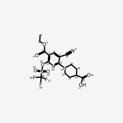 CCOC(=O)c1cc(C#N)c(N2CCC(C(=O)O)CC2)nc1OS(=O)(=O)C(F)(F)F